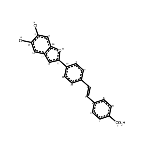 O=C(O)c1ccc(C=Cc2ccc(-c3cc4cc(Cl)c(Cl)cc4o3)cc2)cc1